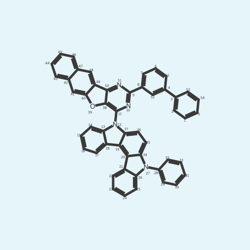 c1ccc(-c2cccc(-c3nc(-n4c5ccccc5c5c6c7ccccc7n(-c7ccccc7)c6ccc54)c4oc5cc6ccccc6cc5c4n3)c2)cc1